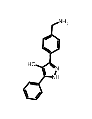 NCc1ccc(-c2n[nH]c(-c3ccccc3)c2O)cc1